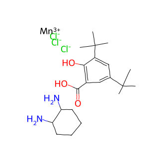 CC(C)(C)c1cc(C(=O)O)c(O)c(C(C)(C)C)c1.NC1CCCCC1N.[Cl-].[Cl-].[Cl-].[Mn+3]